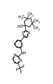 CC1(C)CC(O)(c2ncc(-c3cccc(Nc4nccc(C(F)(F)F)n4)c3)s2)CC(C)(C)S1